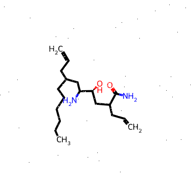 C=CCC(CCCCCC)CC(N)[C@@H](O)CC(CC=C)C(N)=O